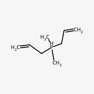 C=CC[PH](C)(C)CC=C